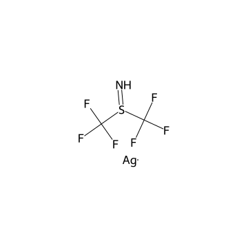 N=S(C(F)(F)F)C(F)(F)F.[Ag]